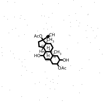 C#CC1(OC(C)=O)CC[C@H]2[C@@H]3C(O)C=C4CC(OC(C)=O)C(O)C[C@]4(C)[C@@H]3CC[C@@]21C